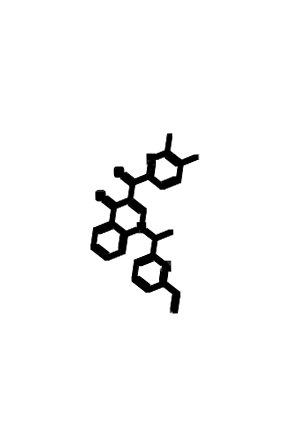 C=Cc1cccc(C(C)n2cc(C(=O)c3ccc(C)c(C)n3)c(=O)c3ccccc32)n1